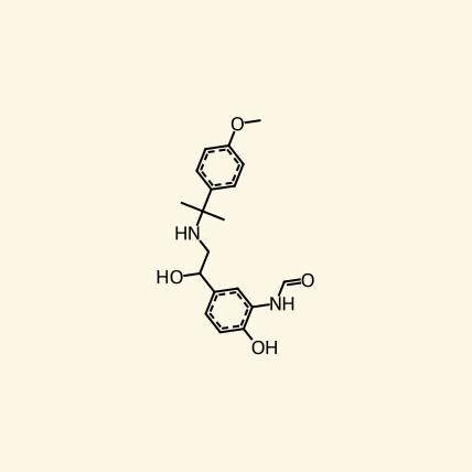 COc1ccc(C(C)(C)NCC(O)c2ccc(O)c(NC=O)c2)cc1